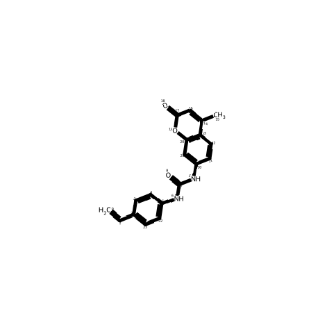 C=Cc1ccc(NC(=O)Nc2ccc3c(C)cc(=O)oc3c2)cc1